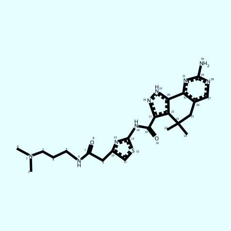 CN(C)CCCNC(=O)Cc1csc(NC(=O)c2n[nH]c3c2C(C)(C)Cc2cnc(N)nc2-3)n1